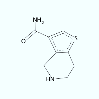 NC(=O)c1csc2c1CNCC2